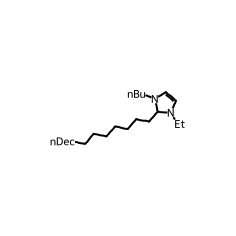 CCCCCCCCCCCCCCCCCC1N(CC)C=CN1CCCC